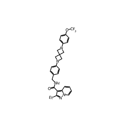 CCc1nn2ccccc2c1C(=O)NCc1ccc(N2CC3(C2)CN(c2ccc(OC(F)(F)F)cc2)C3)cc1